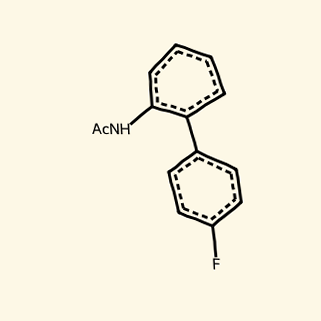 CC(=O)Nc1ccccc1-c1ccc(F)cc1